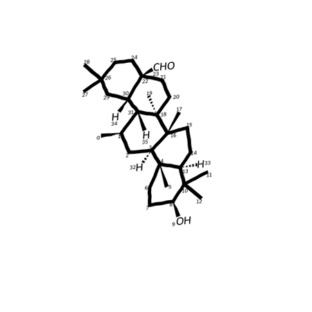 C[C@@H]1C[C@@H]2[C@@]3(C)CC[C@H](O)C(C)(C)[C@@H]3CC[C@@]2(C)[C@]2(C)CC[C@@]3(C=O)CCC(C)(C)C[C@H]3[C@@H]12